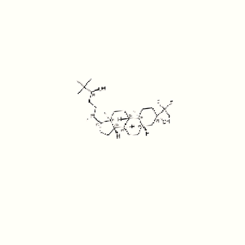 C[C@H](CC[C@H](O)C(C)(C)C)[C@H]1CC[C@H]2[C@@H]3CC[C@H]4C[C@](O)(C(F)(F)F)CC[C@]4(C)[C@H]3CC[C@]12C